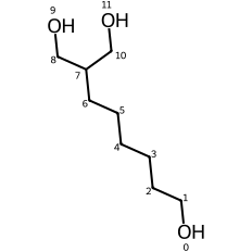 OCCCCCCC(CO)CO